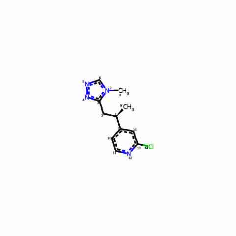 C[C@H](Cc1nncn1C)c1ccnc(Cl)c1